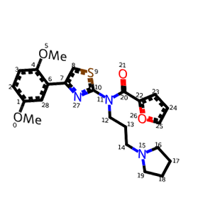 COc1ccc(OC)c(-c2csc(N(CCCN3CCCC3)C(=O)c3ccco3)n2)c1